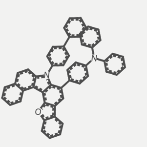 c1ccc(-c2ccc(-n3c4ccc5ccccc5c4c4c5oc6ccccc6c5cc(-c5ccc(N(c6ccccc6)c6ccccc6)cc5)c43)cc2)cc1